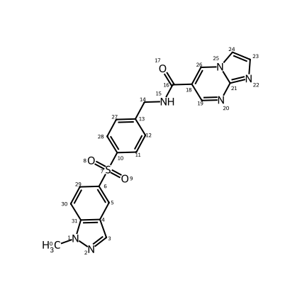 Cn1ncc2cc(S(=O)(=O)c3ccc(CNC(=O)c4cnc5nccn5c4)cc3)ccc21